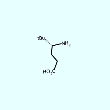 CC(C)(C)[C@H](N)CCC(=O)O